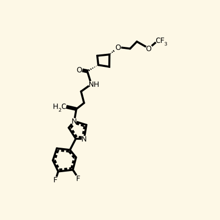 C=C(CCNC(=O)[C@H]1C[C@@H](OCCOC(F)(F)F)C1)n1cnc(-c2ccc(F)c(F)c2)c1